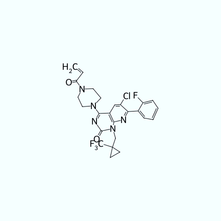 C=CC(=O)N1CCN(c2nc(=O)n(CC3(C(F)(F)F)CC3)c3nc(-c4ccccc4F)c(Cl)cc23)CC1